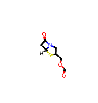 O=COCC1CN2C(=O)C[C@@H]2S1